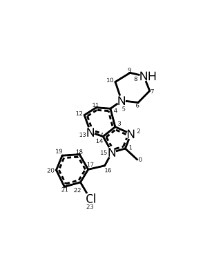 Cc1nc2c(N3CCNCC3)ccnc2n1Cc1ccccc1Cl